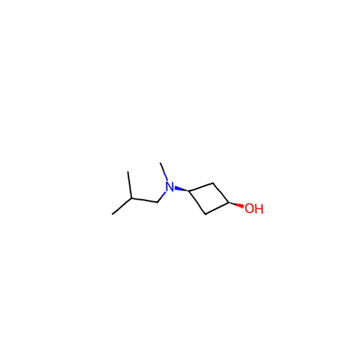 CC(C)CN(C)[C@H]1C[C@@H](O)C1